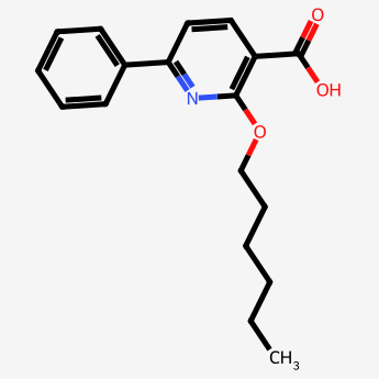 CCCCCCOc1nc(-c2ccccc2)ccc1C(=O)O